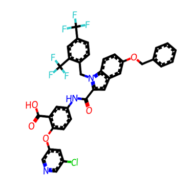 O=C(O)c1cc(NC(=O)c2cc3cc(OCc4ccccc4)ccc3n2Cc2ccc(C(F)(F)F)cc2C(F)(F)F)ccc1Oc1cncc(Cl)c1